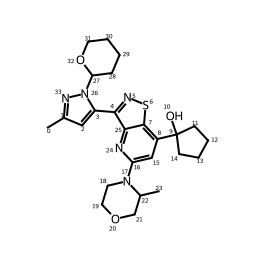 Cc1cc(-c2nsc3c(C4(O)CCCC4)cc(N4CCOCC4C)nc23)n(C2CCCCO2)n1